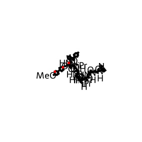 COc1ccc(-c2ccc(OC[C@H](NC(=O)[C@@H]3CCCN3C(=O)c3ccc(C)cc3)C(=O)N[C@@H](CC(C)C)C(=O)NC(C)(C)C(=O)N[C@@H](CC(C)C)C(=O)N[C@@H](CC(C)C)C(=O)NC(C)(C)C(=O)NC(C)(C)C(=O)NCCC(=O)NC3(CN(C)C)CCC3)cc2)cc1